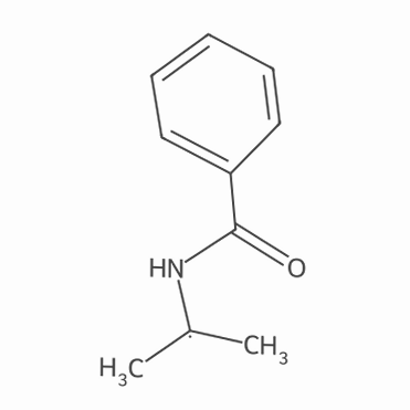 C[C](C)NC(=O)c1ccccc1